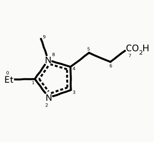 CCc1ncc(CCC(=O)O)n1C